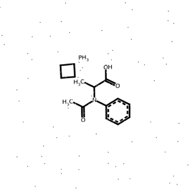 C1CCC1.CC(=O)N(c1ccccc1)C(C)C(=O)O.P